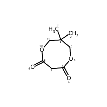 CC1(C)COC(=O)CC(=O)OC1